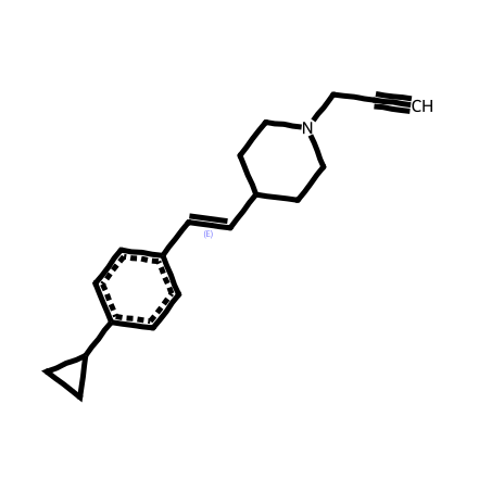 C#CCN1CCC(/C=C/c2ccc(C3CC3)cc2)CC1